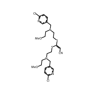 COCCN(CCSC(=CC#N)SCCN(CCOC)Cc1ccc(Cl)nc1)Cc1ccc(Cl)nc1